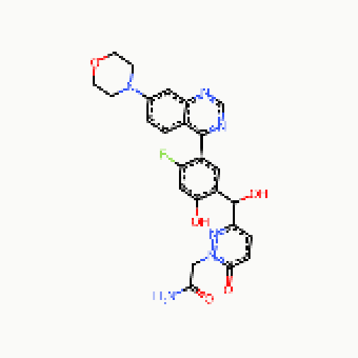 NC(=O)Cn1nc(C(O)c2cc(-c3ncnc4cc(N5CCOCC5)ccc34)c(F)cc2O)ccc1=O